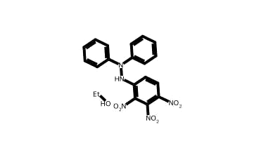 CCO.O=[N+]([O-])c1ccc(NN(c2ccccc2)c2ccccc2)c([N+](=O)[O-])c1[N+](=O)[O-]